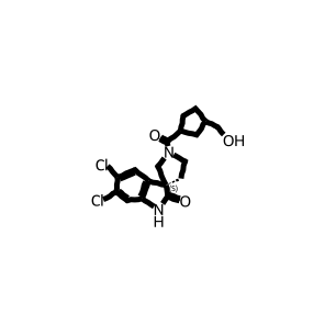 O=C(C1CCC(CO)C1)N1CC[C@]2(C1)C(=O)Nc1cc(Cl)c(Cl)cc12